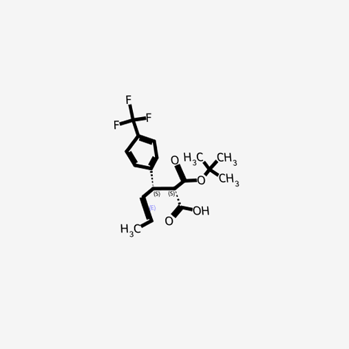 C/C=C/[C@H](c1ccc(C(F)(F)F)cc1)[C@@H](C(=O)O)C(=O)OC(C)(C)C